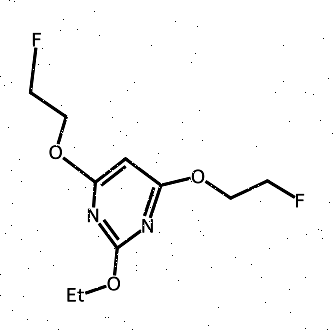 CCOc1nc(OCCF)cc(OCCF)n1